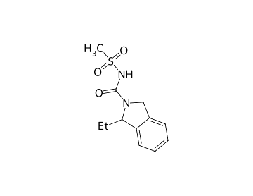 CCC1c2ccccc2CN1C(=O)NS(C)(=O)=O